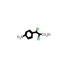 CCOC(=O)C(Br)C(Br)c1ccc([N+](=O)[O-])cc1